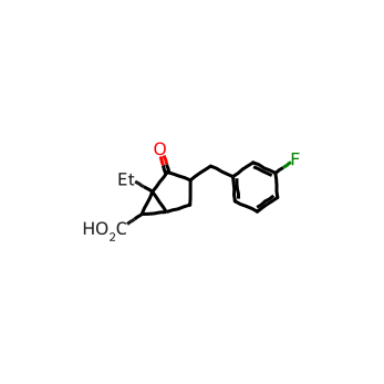 CCC12C(=O)C(Cc3cccc(F)c3)CC1C2C(=O)O